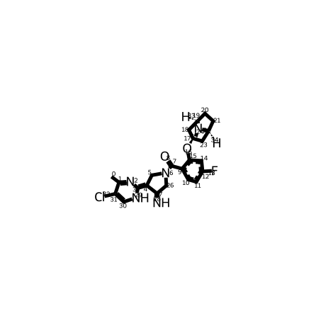 CC1=N/C(=C2\CN(C(=O)c3ccc(F)cc3O[C@H]3C[C@H]4CC[C@@H](C3)N4C)CC2=N)NC=C1Cl